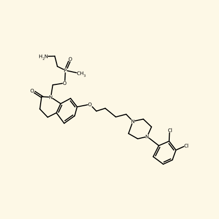 CP(=O)(CCN)OCN1C(=O)CCc2ccc(OCCCCN3CCN(c4cccc(Cl)c4Cl)CC3)cc21